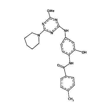 COc1nc(Nc2ccc(NC(=O)c3ccc(C)cc3)c(O)c2)nc(N2CCCCC2)n1